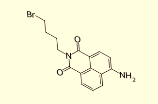 Nc1ccc2c3c(cccc13)C(=O)N(CCCCBr)C2=O